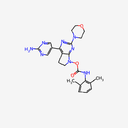 Cc1cccc(C)c1NC(=O)ON1CCc2c(-c3cnc(N)nc3)nc(N3CCOCC3)nc21